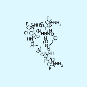 C=CC(=O)N1CC(Nc2nc(OC[C@@H]3CCCN3CCC#CC(=O)N3CC(Nc4nc(OCC5CCCN5CCC#CC(=O)N5CC(Nc6nc(OC[C@@H]7CCCN7C)nc7c(F)c(-c8ccc(F)c9sc(N)nc89)c(Cl)cc67)C5)nc5c(F)c(-c6ccc(F)c7sc(N)nc67)c(Cl)cc45)C3)nc3c(F)c(-c4ccc(F)c5sc(N)nc45)c(-c4ccoc4)cc23)C1